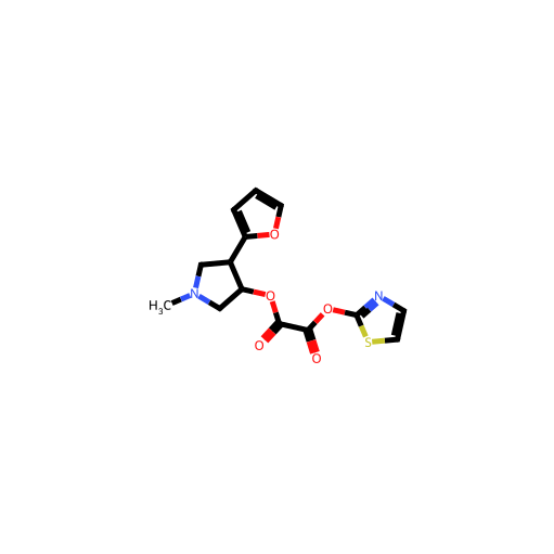 CN1CC(OC(=O)C(=O)Oc2nccs2)C(c2ccco2)C1